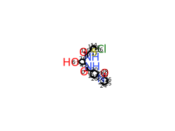 O=C(N[C@H]1C[C@H](O)C[C@H]1NC(=O)c1ccc(Cl)s1)c1ccc(-n2ccccc2=O)cc1